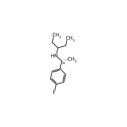 CCC(CC)N[C@H](C)c1ccc(F)cc1